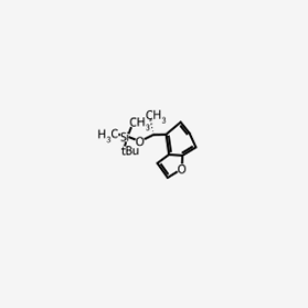 C[C@@H](O[Si](C)(C)C(C)(C)C)c1cccc2occc12